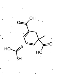 CC1(C(=O)O)C=CC=C(C(=O)O)C1.OC(=S)S